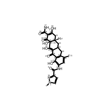 Cn1ccc(C(=O)Nc2cc(F)c3c(c2O)C(=O)C2=C(O)[C@]4(O)C(=O)C(C(N)=O)=C(O)C[C@@H]4CC2C3)n1